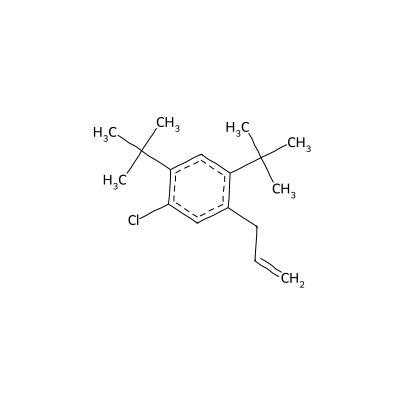 C=CCc1cc(Cl)c(C(C)(C)C)cc1C(C)(C)C